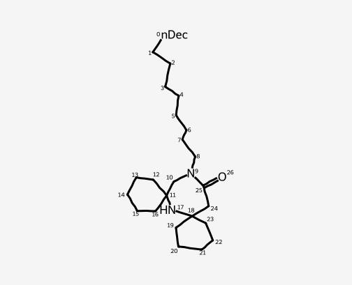 CCCCCCCCCCCCCCCCCCN1CC2(CCCCC2)NC2(CCCCC2)CC1=O